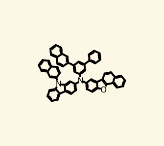 c1ccc(-c2cc(-c3ccc4ccccc4c3)cc(N(c3ccc4oc5c6ccccc6ccc5c4c3)c3ccc4c5ccccc5n(-c5ccc6ccccc6c5)c4c3)c2)cc1